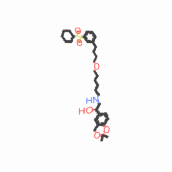 CC1(C)OCc2cc([C@@H](O)CNCCCCCCOCCCCc3cccc(S(=O)(=O)C4CCCCC4)c3)ccc2O1